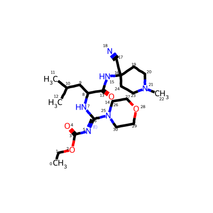 CCOC(=O)/N=C(\NC(CC(C)C)C(=O)NC1(C#N)CCN(C)CC1)N1CCOCC1